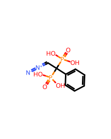 [N-]=[N+]=CC(c1ccccc1)(P(=O)(O)O)P(=O)(O)O